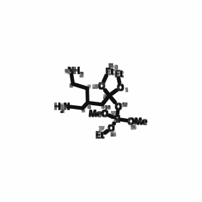 CCOC(CC(CN)CCN)(OCC)O[Si](OC)(OC)OCC